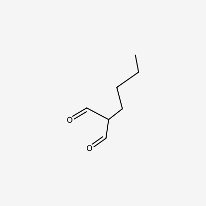 CCCCC(C=O)C=O